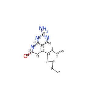 C=CCC(CCCC)C1=c2cnc(N)nc2=NC(=O)C1